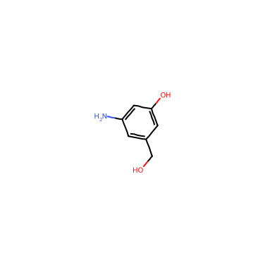 Nc1cc(O)cc(CO)c1